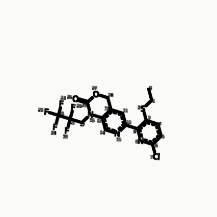 CCSc1ccc(Cl)nc1-c1cc2c(cn1)N(CC(F)(F)C(F)(F)F)C(=O)OC2